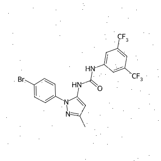 Cc1cc(NC(=O)Nc2cc(C(F)(F)F)cc(C(F)(F)F)c2)n(-c2ccc(Br)cc2)n1